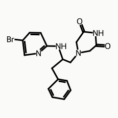 O=C1CN(CC(Cc2ccccc2)Nc2ccc(Br)cn2)CC(=O)N1